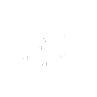 CCCc1c(C)nn(C(=O)Cl)c1C